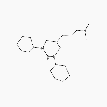 CN(C)CCCC1CN(C2CCCCC2)NN(C2CCCCC2)C1